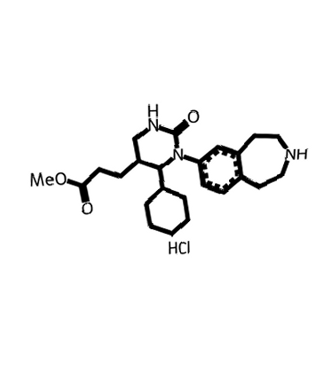 COC(=O)CCC1CNC(=O)N(c2ccc3c(c2)CCNCC3)C1C1CCCCC1.Cl